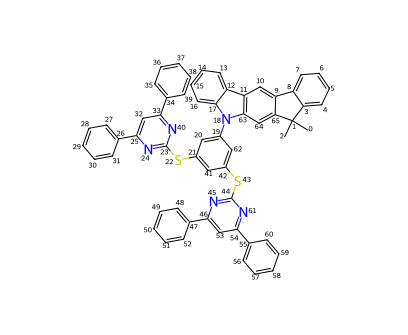 CC1(C)c2ccccc2-c2cc3c4ccccc4n(-c4cc(Sc5nc(-c6ccccc6)cc(-c6ccccc6)n5)cc(Sc5nc(-c6ccccc6)cc(-c6ccccc6)n5)c4)c3cc21